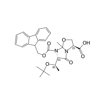 C[C@@H](OC(C)(C)C)[C@H]1C(=O)N2[C@H](C(=O)O)COC2(C)N1C(=O)OCC1c2ccccc2-c2ccccc21